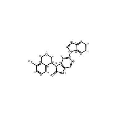 O=c1[nH]c2cnc(-n3cnc4ccccc43)nc2n1C1COCc2c(F)cccc21